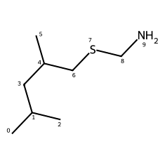 CC(C)CC(C)CSCN